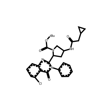 CC(C)(C)OC(=O)N1CC(NC(=O)CC2CC2)CC1c1nc2cccc(Cl)c2c(=O)n1-c1ccccc1